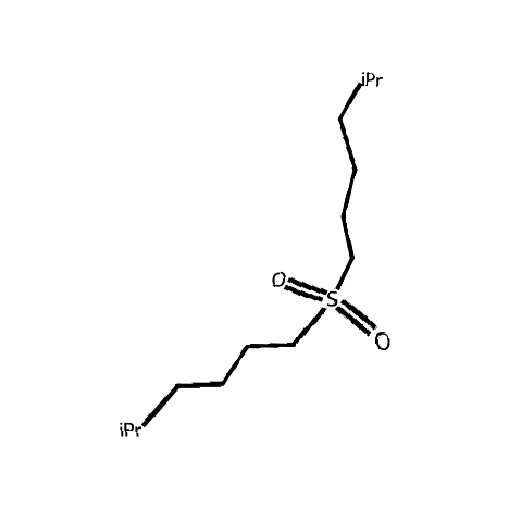 CC(C)CCCCS(=O)(=O)CCCCC(C)C